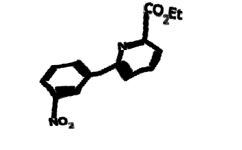 CCOC(=O)c1cccc(-c2cccc([N+](=O)[O-])c2)n1